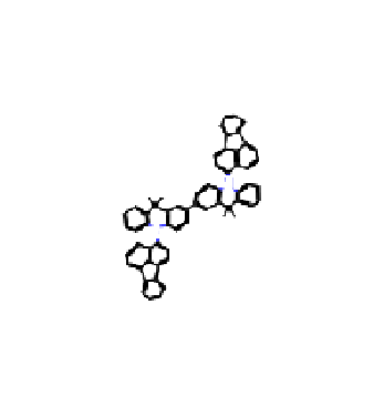 CC1(C)c2ccccc2N(c2ccc3c4c(cccc24)-c2ccccc2-3)c2ccc(-c3ccc4c(c3)C(C)(C)c3ccccc3N4c3ccc4c5c(cccc35)-c3ccccc3-4)cc21